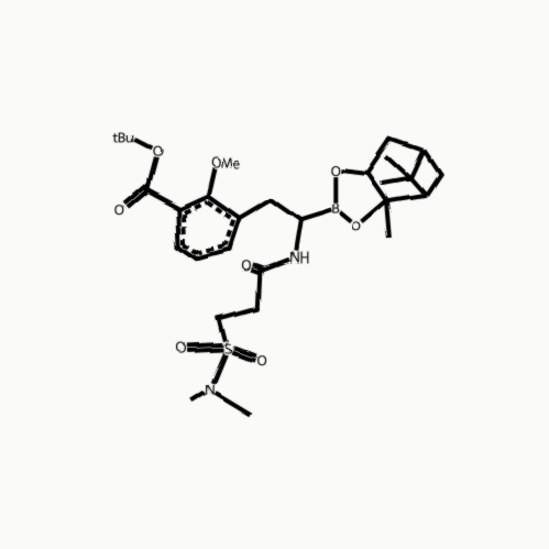 COc1c(CC(NC(=O)CCS(=O)(=O)N(C)C)B2OC3CC4CC(C4(C)C)C3(C)O2)cccc1C(=O)OC(C)(C)C